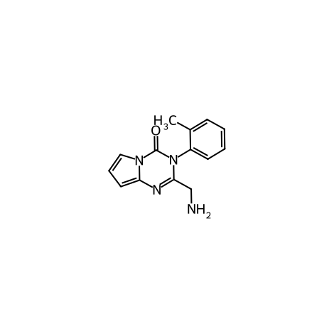 Cc1ccccc1-n1c(CN)nc2cccn2c1=O